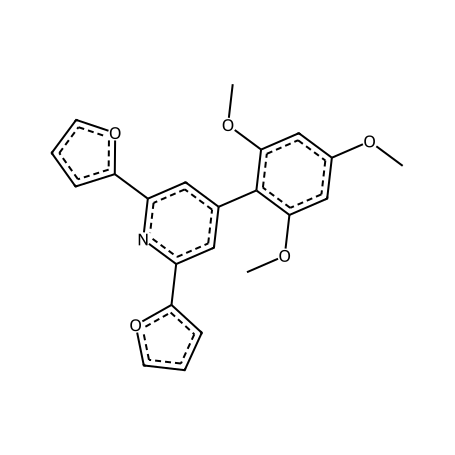 COc1cc(OC)c(-c2cc(-c3ccco3)nc(-c3ccco3)c2)c(OC)c1